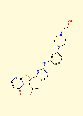 CC(C)c1c(-c2ccnc(Nc3cccc(N4CCN(CCO)CC4)c3)n2)sc2nccc(=O)n12